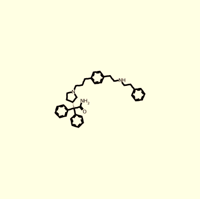 NC(=O)C(c1ccccc1)(c1ccccc1)[C@@H]1CCN(CCCc2ccc(CCNCCc3ccccc3)cc2)C1